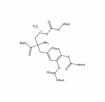 CCCCCOC(=O)O[C@@H](C)CC(N)(Cc1ccc(OC(=O)CCCCC)c(OC(=O)CCCCC)c1)C(=O)OC